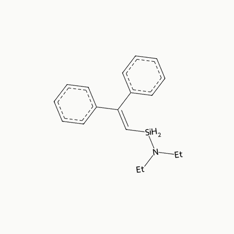 CCN(CC)[SiH2]C=C(c1ccccc1)c1ccccc1